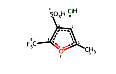 Cc1cc(S(=O)(=O)O)c(C(F)(F)F)o1.Cl